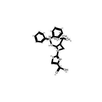 CC(C)(C)C1CN(c2nc(C(=O)O)cs2)C1O[SiH](c1ccccc1)c1ccccc1